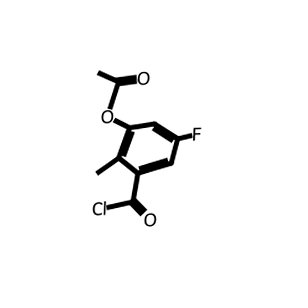 CC(=O)Oc1cc(F)cc(C(=O)Cl)c1C